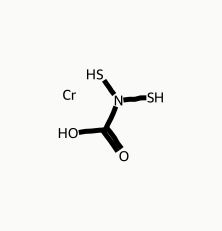 O=C(O)N(S)S.[Cr]